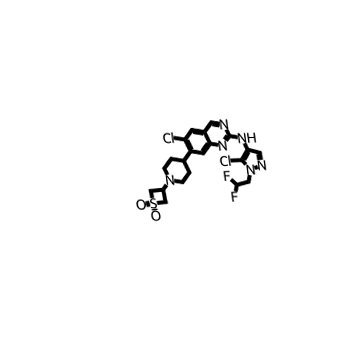 O=S1(=O)CC(N2CCC(c3cc4nc(Nc5cnn(CC(F)F)c5Cl)ncc4cc3Cl)CC2)C1